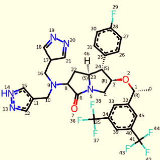 C[C@@H](O[C@H]1CN2C(=O)C(N(Cc3cn[nH]c3)CC3C=NN=C3)C[C@H]2[C@@H]1c1ccc(F)cc1)c1cc(C(F)(F)F)cc(C(F)(F)F)c1